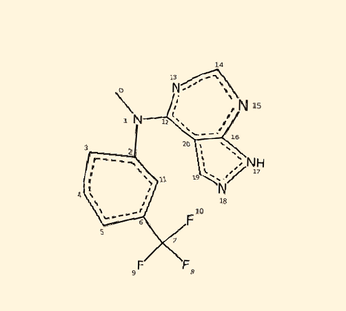 CN(c1cccc(C(F)(F)F)c1)c1ncnc2[nH]ncc12